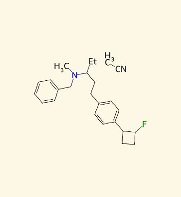 CC#N.CCC(CCc1ccc(C2CCC2F)cc1)N(C)Cc1ccccc1